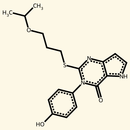 CC(C)OCCCSc1nc2cc[nH]c2c(=O)n1-c1ccc(O)cc1